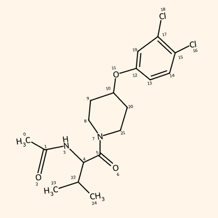 CC(=O)NC(C(=O)N1CCC(Oc2ccc(Cl)c(Cl)c2)CC1)C(C)C